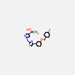 C=C(O)c1cnn(Cc2nc(-c3cccc(OCc4ccc(F)cc4)c3)cs2)c1